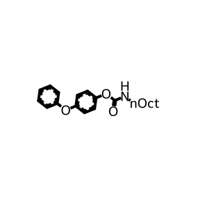 CCCCCCCCNC(=O)Oc1ccc(Oc2ccccc2)cc1